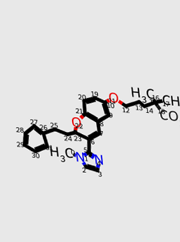 Cn1ccnc1C1=Cc2cc(OCCCC(C)(C)C(=O)O)ccc2OC1CCc1ccccc1